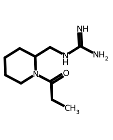 CCC(=O)N1CCCCC1CNC(=N)N